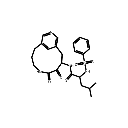 CC(C)CC(NS(=O)(=O)c1ccccc1)C(=O)NC1Cc2cncc(c2)CCCNC(=O)C1=O